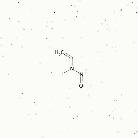 C=CN(I)N=O